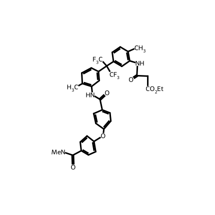 CCOC(=O)CC(=O)Nc1cc(C(c2ccc(C)c(NC(=O)c3ccc(Oc4ccc(C(=O)NC)cc4)cc3)c2)(C(F)(F)F)C(F)(F)F)ccc1C